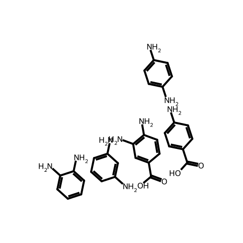 Nc1ccc(C(=O)O)cc1.Nc1ccc(C(=O)O)cc1N.Nc1ccc(N)cc1.Nc1cccc(N)c1.Nc1ccccc1N